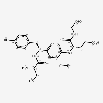 CC(C)C[C@H](NC(=O)[C@H](Cc1ccc(O)cc1)NC(=O)[C@@H](N)CO)C(=O)N[C@@H](CCC(=O)O)C(=O)NC[C]=O